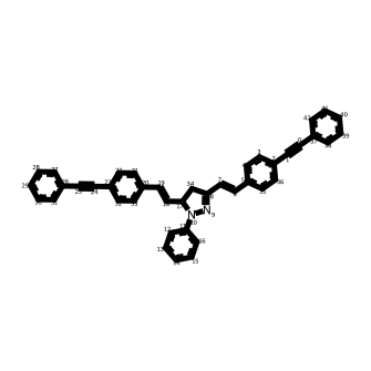 C(#Cc1ccc(C=CC2=NN(c3ccccc3)C(C=Cc3ccc(C#Cc4ccccc4)cc3)C2)cc1)c1ccccc1